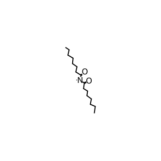 CCCCCCCC(=O)[N]C(=O)CCCCCCC